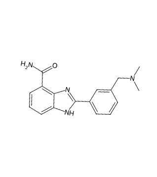 CN(C)Cc1cccc(-c2nc3c(C(N)=O)cccc3[nH]2)c1